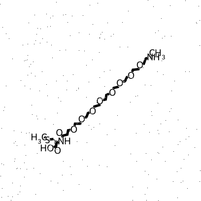 CNCCOCCOCCOCCOCCOCCOCCOCCOCCC(=O)N[C@@H](CSC)C(=O)O